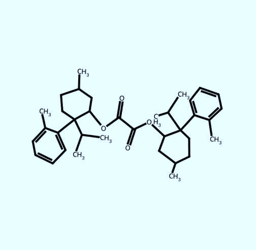 Cc1ccccc1C1(C(C)C)CCC(C)CC1OC(=O)C(=O)OC1CC(C)CCC1(c1ccccc1C)C(C)C